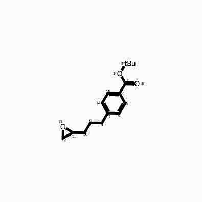 CC(C)(C)OC(=O)c1ccc(CCCC2CO2)cc1